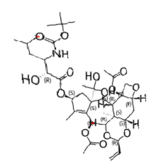 C=C[C@@H]1O[C@H]2C[C@H]3OC[C@@]3(OC(C)=O)[C@H]3[C@H](O)[C@]4(C(C)(C)O)C[C@H](OC(=O)[C@H](O)C(CC(C)C)NC(=O)OC(C)(C)C)C(C)=C4[C@H](OC(C)=O)[C@H](O1)[C@]23C